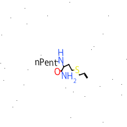 C=CCSCCC(NCCCCC)C(N)=O